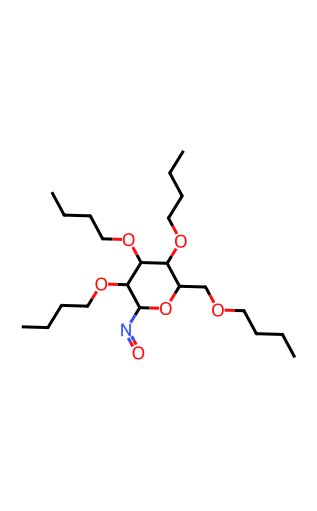 CCCCOCC1OC(N=O)C(OCCCC)C(OCCCC)C1OCCCC